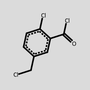 O=C(Cl)c1cc(CCl)ccc1Cl